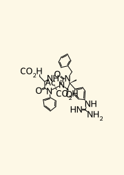 CC(=O)[C@@](C(=O)O)(N1C(=O)N(Cc2ccccc2)[C@](C)(c2ccc(NC(=N)N)cc2)C1=O)N(C(=O)C(N)CC(=O)O)c1ccccc1